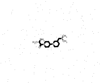 C[C@H](N)C(=O)N1CCC(N2CCCC(CN(C)C)C2)CC1